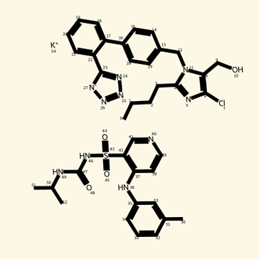 CCCCc1nc(Cl)c(CO)n1Cc1ccc(-c2ccccc2-c2nnn[n-]2)cc1.Cc1cccc(Nc2ccncc2S(=O)(=O)NC(=O)NC(C)C)c1.[K+]